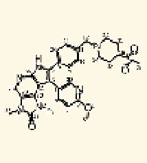 COc1ccc(-c2c(-c3ccc(CN4CCC(S(C)(=O)=O)CC4)cc3)[nH]c3ncc4c(c23)n(C)c(=O)n4C)cn1